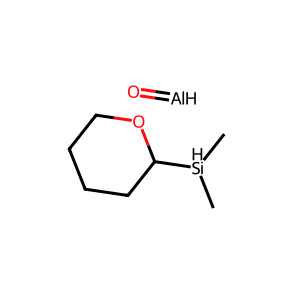 C[SiH](C)C1CCCCO1.[O]=[AlH]